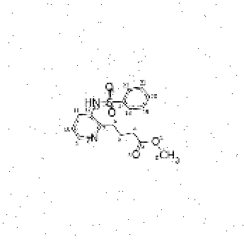 COC(=O)CCCc1ncccc1NS(=O)(=O)c1ccccc1